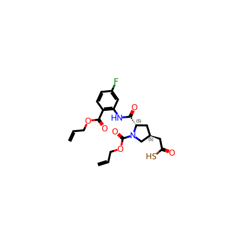 C=CCOC(=O)c1ccc(F)cc1NC(=O)[C@@H]1C[C@@H](CC(=O)S)CN1C(=O)OCC=C